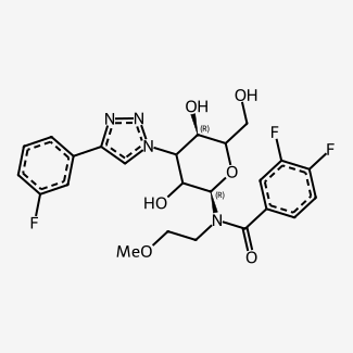 COCCN(C(=O)c1ccc(F)c(F)c1)[C@@H]1OC(CO)[C@H](O)C(n2cc(-c3cccc(F)c3)nn2)C1O